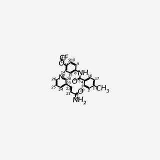 Cc1ccc(C(=O)Nc2ccc(OC(F)(F)F)cc2)cc1.NC(=O)C=Cc1cccnc1